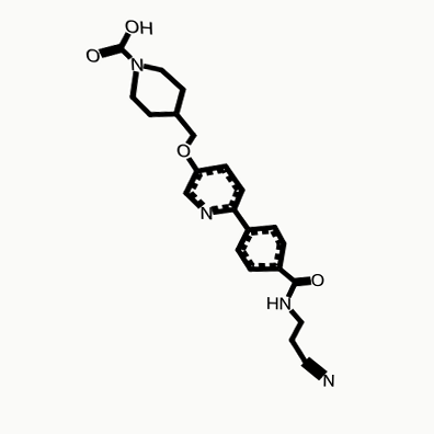 N#CCCNC(=O)c1ccc(-c2ccc(OCC3CCN(C(=O)O)CC3)cn2)cc1